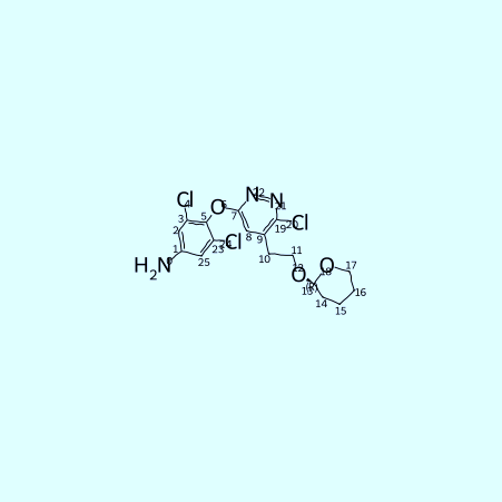 Nc1cc(Cl)c(Oc2cc(CCO[C@@H]3CCCCO3)c(Cl)nn2)c(Cl)c1